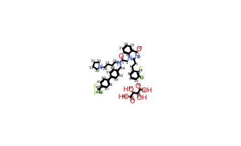 O=C(Cn1c(CCc2cccc(F)c2F)nc(=O)c2ccccc21)N(CCCCN1CCCC1)Cc1ccc(-c2ccc(C(F)(F)F)cc2)cc1.O=C(O)C(O)C(O)C(=O)O